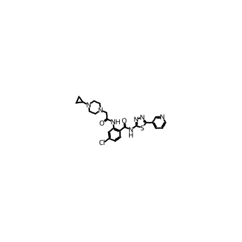 O=C(CN1CCN(C2CC2)CC1)Nc1cc(Cl)ccc1C(=O)Nc1nnc(-c2cccnc2)s1